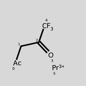 CC(=O)CC(=O)C(F)(F)F.[Pr+3]